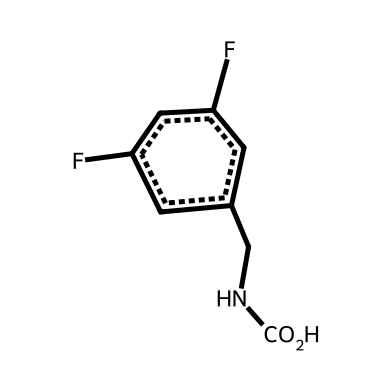 O=C(O)NCc1cc(F)cc(F)c1